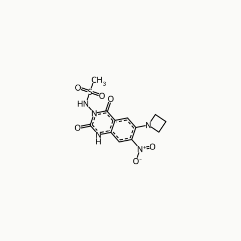 CS(=O)(=O)Nn1c(=O)[nH]c2cc([N+](=O)[O-])c(N3CCC3)cc2c1=O